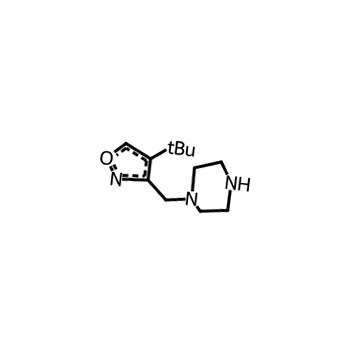 CC(C)(C)c1conc1CN1CCNCC1